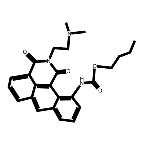 CCCCOC(=O)Nc1cccc2cc3cccc4c3c(c12)C(=O)N(CCN(C)C)C4=O